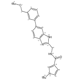 CC(C)(C)OCc1cccc(-c2ccc3nc(CNC(=O)c4ccn(C(C)(C)C)c4)[nH]c3c2)c1